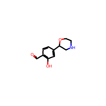 O=Cc1ccc(C2CNCCO2)cc1O